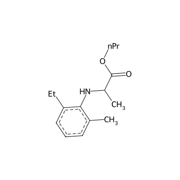 CCCOC(=O)C(C)Nc1c(C)cccc1CC